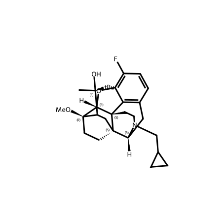 CO[C@]12CC[C@@]3(CC1[C@](C)(O)C(C)(C)C)[C@H]1Cc4ccc(F)c5c4[C@@]3(CCN1CC1CC1)[C@H]2O5